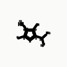 Cc1cc(C(F)F)c(C)n1S